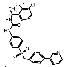 C[C@H](NC(=O)Nc1ccc(S(=O)(=O)Cc2ccc(-c3cccnc3)cc2)cc1)c1cccc(Cl)c1Cl